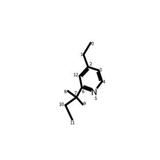 CCc1ccnc(C(C)(C)CC)c1